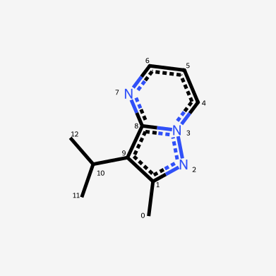 Cc1nn2cccnc2c1C(C)C